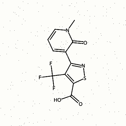 Cn1cccc(-c2nsc(C(=O)O)c2C(F)(F)F)c1=O